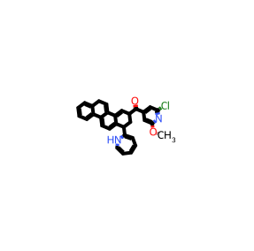 COc1cc(C(=O)C2C=c3c(ccc4c3=CCc3ccccc3-4)C(C3=CC=CC=CN3)C2)cc(Cl)n1